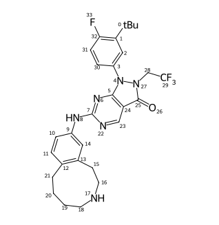 CC(C)(C)c1cc(-n2c3nc(Nc4ccc5c(c4)CCNCCCC5)ncc3c(=O)n2CC(F)(F)F)ccc1F